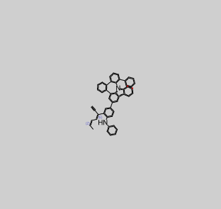 C#C/C(=C\C=C/C)c1cc(-c2cc3c4c(c2)c2ccccc2n4-c2c(-c4ccccc4)cccc2-c2ccccc2-3)ccc1Nc1ccccc1